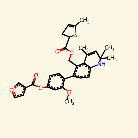 COc1cc(OC(=O)c2ccoc2)ccc1-c1ccc2c(c1COC(=O)C1CC=C(C)S1)C(C)=CC(C)(C)N2